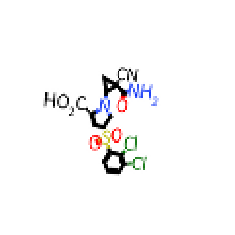 N#CC1(C(N)=O)CC1N1C[C@H](S(=O)(=O)c2cccc(Cl)c2Cl)C[C@H]1C(=O)O